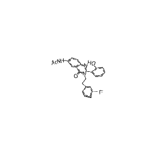 CC(=O)Nc1ccc2nc(-c3ccccc3O)n(CCc3cccc(F)c3)c(=O)c2c1